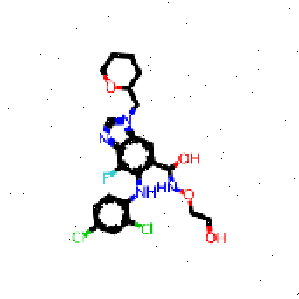 OCCONC(O)c1cc2c(ncn2CC2CCCCO2)c(F)c1Nc1ccc(Cl)cc1Cl